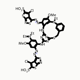 CCN(CC)c1cc(Nc2nc3nc(n2)SCc2cccc(c2)N(CC)c2cc(c(/N=N/c4snc5sc(S(=O)(=O)O)c(Cl)c45)cc2OC)N3)c(/N=N/c2snc3sc(S(=O)(=O)O)c(Cl)c23)cc1OC